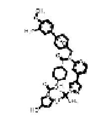 COc1ccc(C23CCC(CN(c4cc(-c5cnn(C(C)(C)C)c5)ccn4)C(=O)[C@H]4CC[C@H](OC(=O)N5CCC(O)C5)CC4)(CC2)CC3)cc1C